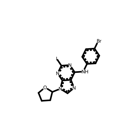 Brc1ccc(Nc2nc(I)nc3c2ncn3C2CCCO2)cc1